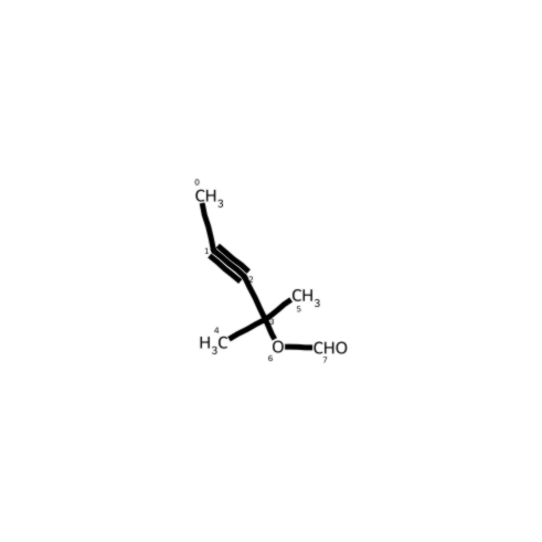 CC#CC(C)(C)OC=O